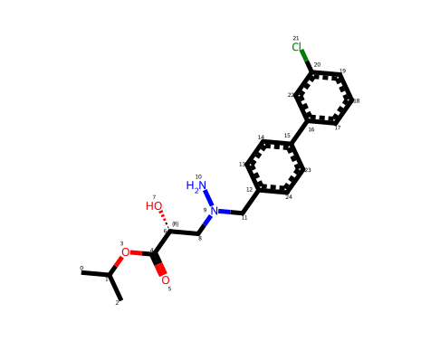 CC(C)OC(=O)[C@H](O)CN(N)Cc1ccc(-c2cccc(Cl)c2)cc1